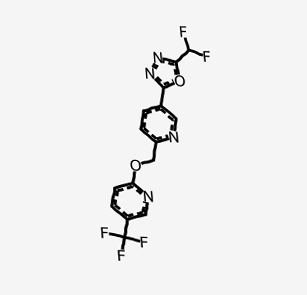 FC(F)c1nnc(-c2ccc(COc3ccc(C(F)(F)F)cn3)nc2)o1